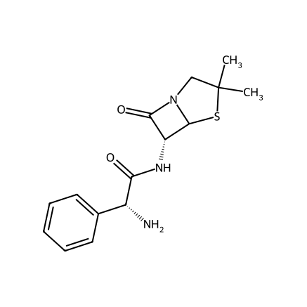 CC1(C)CN2C(=O)[C@@H](NC(=O)[C@H](N)c3ccccc3)C2S1